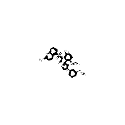 COc1cccc([C@H]2CO[C@@](C(=O)NS(=O)(=O)c3cccc4nc(C)ccc34)(c3cc(C)ccc3OC)C2)c1